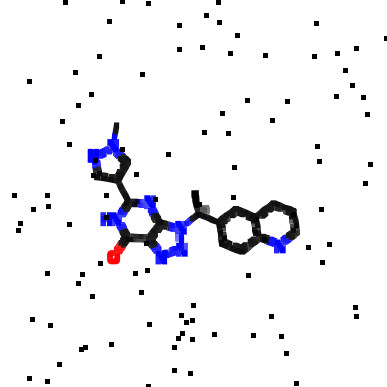 C[C@@H](c1ccc2ncccc2c1)n1nnc2c(=O)[nH]c(-c3cnn(C)c3)nc21